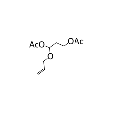 C=CCOC(CCOC(C)=O)OC(C)=O